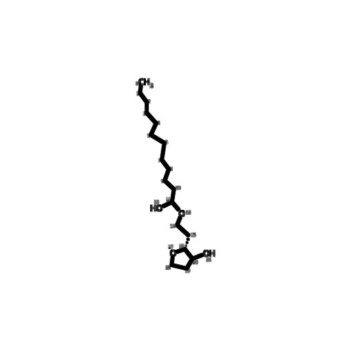 CCCCCCCCCCCC(O)OCC[C@H]1OCCC1O